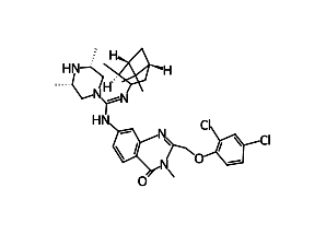 C[C@@H]1CN(C(=NC2C[C@H]3C[C@@H]([C@@H]2C)C3(C)C)Nc2ccc3c(=O)n(C)c(COc4ccc(Cl)cc4Cl)nc3c2)C[C@H](C)N1